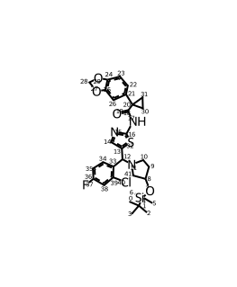 CC(C)(C)[Si](C)(C)OC1CCN(C(c2cnc(NC(=O)C3(c4ccc5c(c4)OCO5)CC3)s2)c2ccc(F)cc2Cl)C1